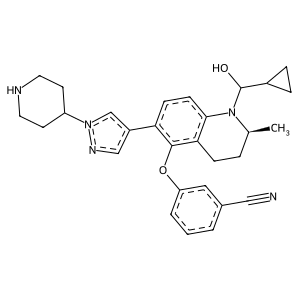 C[C@H]1CCc2c(ccc(-c3cnn(C4CCNCC4)c3)c2Oc2cccc(C#N)c2)N1C(O)C1CC1